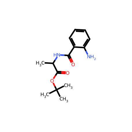 CC(NC(=O)c1ccccc1N)C(=O)OC(C)(C)C